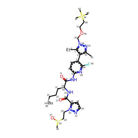 CCc1c(-c2ccc(NC(=O)[C@H](CCC[C@H](C)CC)NC(=O)c3ccnn3CC[S+](C)[O-])nc2F)c(C)nn1COCCS(C)(C)C